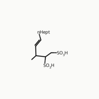 CCCCCCCC=CC(C)C(CS(=O)(=O)O)S(=O)(=O)O